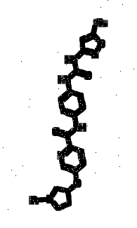 CC(C)N1CC[C@H](Oc2ccc(C(=O)Nc3ccc(NC(=O)Nc4cc(C(C)(C)C)on4)cc3)nc2)C1